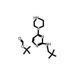 CC(C)(C)CNc1nccc(N2CCNCC2)n1.CC(C)(C)OC=O